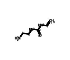 C=CNC(=O)NCCN